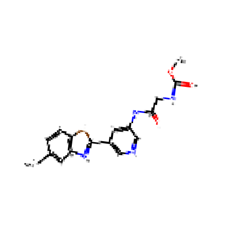 COc1ccc2sc(-c3cncc(NC(=O)CNC(=O)OC(C)(C)C)c3)nc2c1